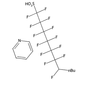 CCCCC(F)C(F)(F)C(F)(F)C(F)(F)C(F)(F)C(F)(F)C(F)(F)S(=O)(=O)O.c1ccncc1